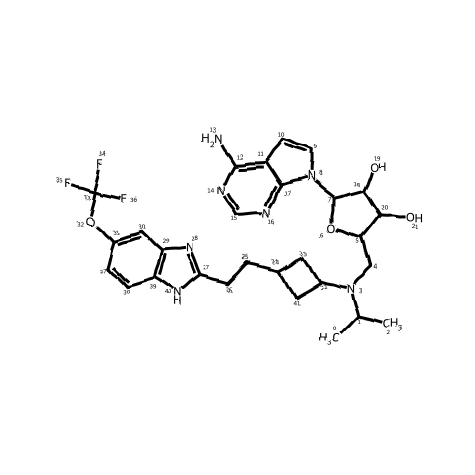 CC(C)N(CC1OC(n2ccc3c(N)ncnc32)C(O)C1O)C1CC(CCc2nc3cc(OC(F)(F)F)ccc3[nH]2)C1